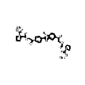 Cn1c(-c2ccc(C(=O)COC(=O)C3CCCN3C(=O)OC(C)(C)C)cc2)nc2cc(C(=O)COC(=O)[C@@H]3CCCN3C(=O)OC(C)(C)C)ccc21